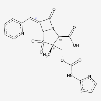 C[C@]1(COC(=O)Nc2nccs2)[C@H](C(=O)O)N2C(=O)/C(=C/c3ccccn3)C2S1(=O)=O